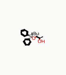 C[C@@H](O)[CH]O[Si](c1ccccc1)(c1ccccc1)C(C)(C)C